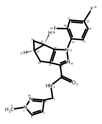 Cn1ccc(CNC(=O)c2nn(-c3ccc(F)cc3F)c3c2C[C@H]2C[C@@H]32)n1